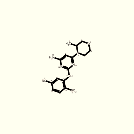 CC1COCCN1c1cc(N)nc(Nc2cc(C#N)ccc2[N+](=O)[O-])n1